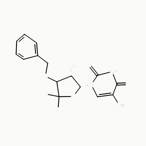 CCC1(CC)O[C@@H](n2cc(C)c(=O)[nH]c2=O)[C@@H](O)C1OCc1ccccc1